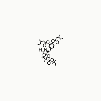 CCC(C)CC(=O)Oc1ccc(C[C@H](N)C(=O)O[C@@H](C)C(C)OC(=O)OC(C)(C)CC)cc1OC(=O)CC(C)CC